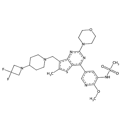 COc1ncc(-c2nc(N3CCOCC3)nc3c(CN4CCC(N5CC(F)(F)C5)CC4)c(C)sc23)cc1NS(C)(=O)=O